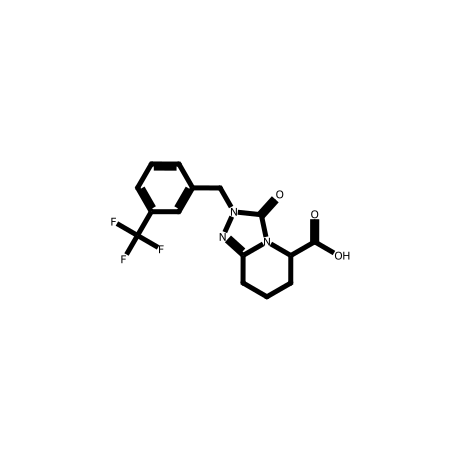 O=C(O)C1CCCc2nn(Cc3cccc(C(F)(F)F)c3)c(=O)n21